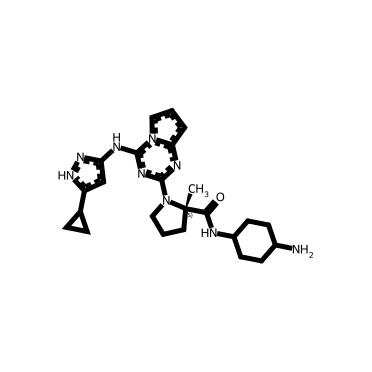 C[C@@]1(C(=O)NC2CCC(N)CC2)CCCN1c1nc(Nc2cc(C3CC3)[nH]n2)n2cccc2n1